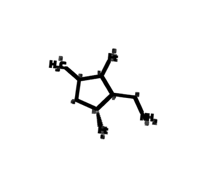 CCC1C(C)C[C@@H](CC)C1CN